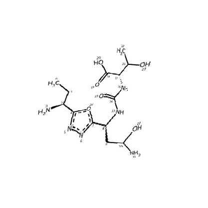 CC[C@H](N)c1nnc([C@H](CC(N)O)NC(=O)N[C@H](C(=O)O)C(C)O)o1